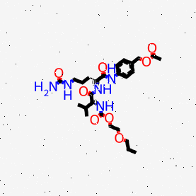 CCCOCCOC(=O)N[C@@H](C(=O)N[C@H](CCCNC(N)=O)C(=O)Nc1ccc(COC(C)=O)cc1)C(C)C